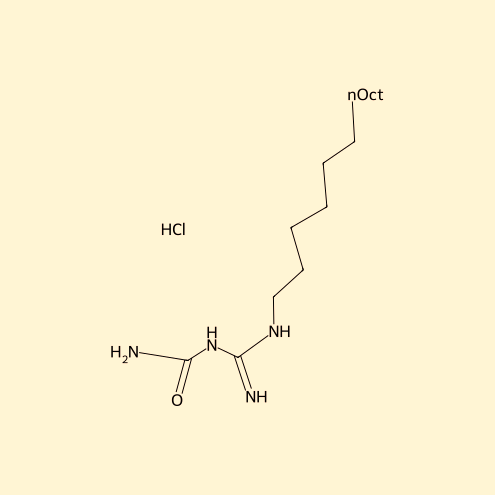 CCCCCCCCCCCCCCNC(=N)NC(N)=O.Cl